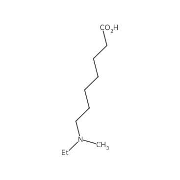 CCN(C)CCCCCCC(=O)O